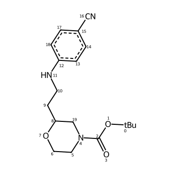 CC(C)(C)OC(=O)N1CCOC(CCNc2ccc(C#N)cc2)C1